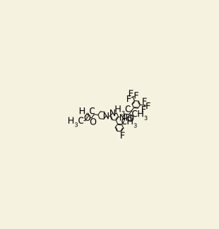 CCOC(=O)C(C)C1CCN(c2cc(-c3ccc(F)cc3C)c(NCC(=O)C(C)(C)c3cc(C(F)(F)F)cc(C(F)(F)F)c3)cn2)CC1